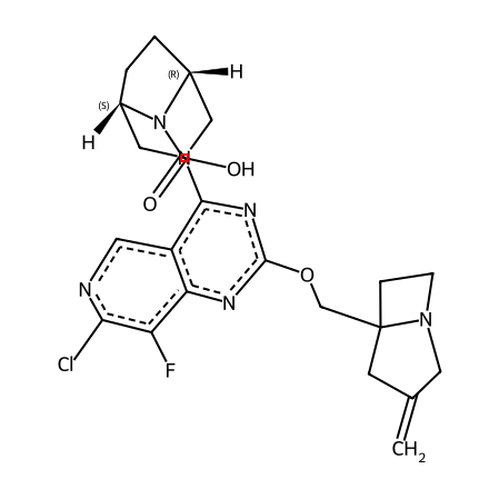 C=C1CN2CCC2(COc2nc(N3C[C@H]4CC[C@@H](C3)N4C(=O)O)c3cnc(Cl)c(F)c3n2)C1